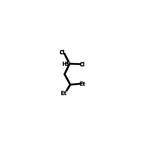 CCC(CC)C[SiH](Cl)Cl